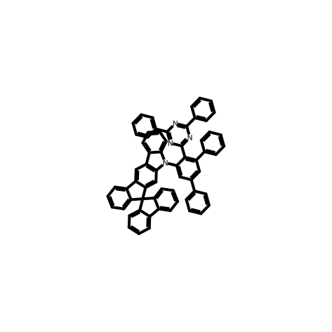 c1ccc(-c2cc(-c3ccccc3)c(-c3nc(-c4ccccc4)nc(-c4ccccc4)n3)c(-n3c4ccccc4c4cc5c(cc43)C3(c4ccccc4-c4ccccc43)c3ccccc3-5)c2)cc1